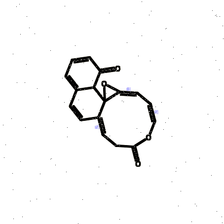 O=C1C/C=C2/C=CC3=CC=CC(=O)C3C23O/C3=C/C=C\O1